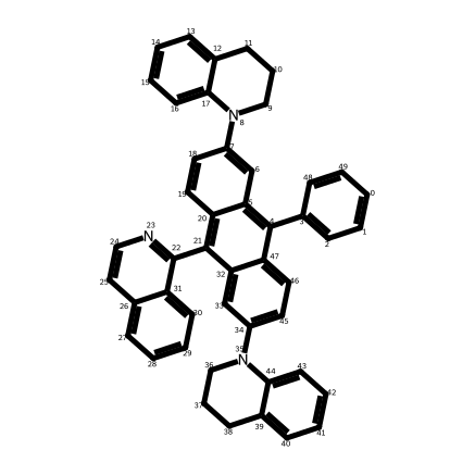 c1ccc(-c2c3cc(N4CCCc5ccccc54)ccc3c(-c3nccc4ccccc34)c3cc(N4CCCc5ccccc54)ccc23)cc1